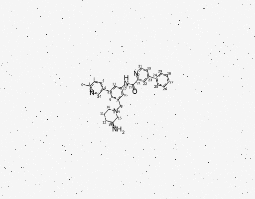 Cc1ccc(-c2cc(CN3CCC[C@H](N)C3)cc(NC(=O)c3cc(-c4ccccc4)ccn3)c2)cn1